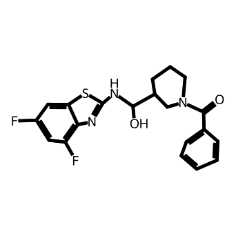 O=C(c1ccccc1)N1CCCC(C(O)Nc2nc3c(F)cc(F)cc3s2)C1